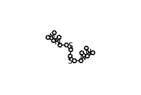 c1ccc(-n2c3ccccc3c3ccc4c(c5ccccc5n4-c4cccc(-c5ccc6sc7ccc(-c8ccc9sc%10ccc(-c%11cccc(-n%12c%13ccccc%13c%13c%12ccc%12c%14ccccc%14n(-c%14ccccc%14)c%12%13)c%11)cc%10c9c8)cc7c6c5)c4)c32)cc1